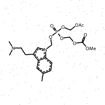 COC(=O)OCOP(=O)(OCOC(C)=O)OCn1cc(CCN(C)C)c2cc(C)ccc21